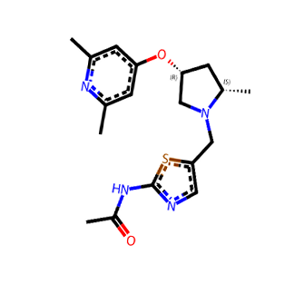 CC(=O)Nc1ncc(CN2C[C@H](Oc3cc(C)nc(C)c3)C[C@@H]2C)s1